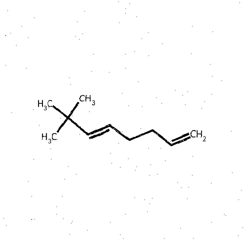 C=CCCC=CC(C)(C)C